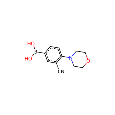 N#Cc1cc(B(O)O)ccc1N1CCOCC1